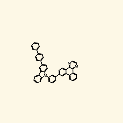 c1ccc(-c2ccc(-c3ccc4c(c3)c3ccccc3n4-c3cccc(-c4ccc5c(c4)c4ccccc4c4nccnc54)c3)cc2)cc1